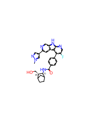 Cn1cc(-c2cc3c(cn2)[nH]c2ncc(F)c(-c4ccc(C(=O)N[C@H]5C6CCC(C6)[C@H]5CO)cc4)c23)cn1